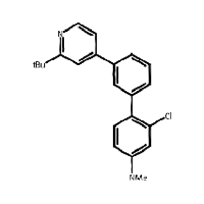 CNc1ccc(-c2cccc(-c3ccnc(C(C)(C)C)c3)c2)c(Cl)c1